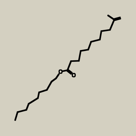 C=C(C)CCCCCCCCC(=O)OCCCCCCCCC